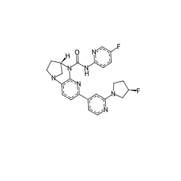 O=C(Nc1ccc(F)cn1)N1c2nc(-c3ccnc(N4CC[C@@H](F)C4)c3)ccc2N2CC[C@H]1C2